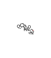 O=C(NC1C2CCN(CC2)C12CC2)c1cc2ccc3c(c2s1)CCO3